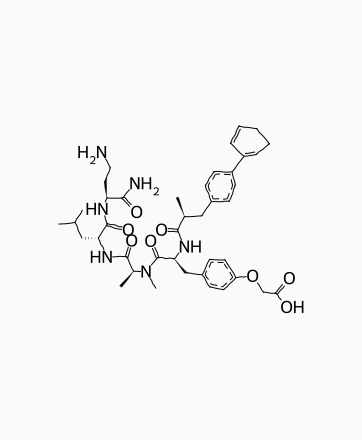 CC(C)C[C@@H](NC(=O)[C@H](C)N(C)C(=O)[C@H](Cc1ccc(OCC(=O)O)cc1)NC(=O)[C@@H](C)Cc1ccc(C2=CCCC=C2)cc1)C(=O)N[C@@H](CCN)C(N)=O